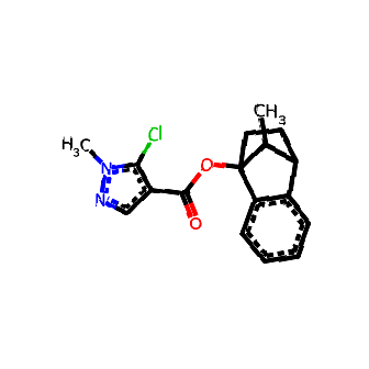 CC1C2CCC1(OC(=O)c1cnn(C)c1Cl)c1ccccc12